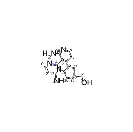 CC(C)/N=C(/c1cccnc1N)N(C=N)c1ccc(CO)cc1